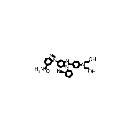 N#Cc1ccccc1-n1c(-c2ccc(N(CCO)CCO)cc2)nc2cc(-n3cnc4ccc(C(N)=O)cc43)ccc21